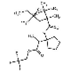 CCC(C)(C)CC(C)(C(=O)OC1(C(C)C(=O)OCC(F)(F)F)CCCC1)C(C)(C)C